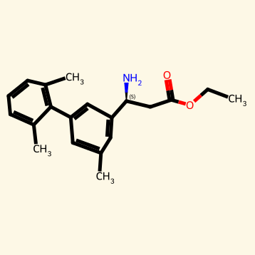 CCOC(=O)C[C@H](N)c1cc(C)cc(-c2c(C)cccc2C)c1